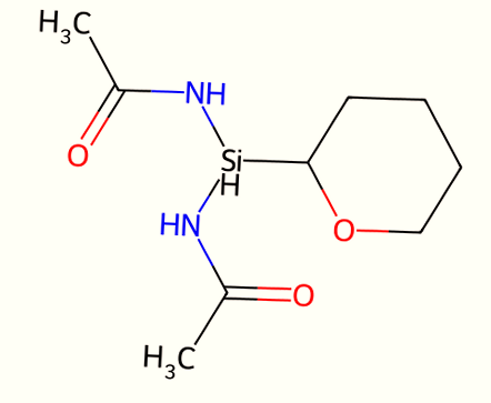 CC(=O)N[SiH](NC(C)=O)C1CCCCO1